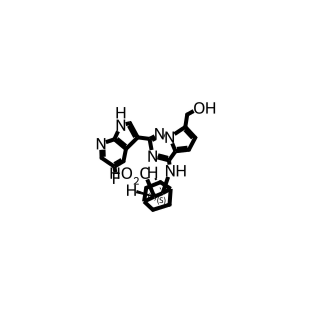 O=C(O)[C@H]1C2CCC(CC2)[C@@H]1Nc1nc(-c2c[nH]c3ncc(F)cc23)nn2c(CO)ccc12